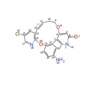 Cn1cc2c(cc1=O)OCC/C=C\c1cc(Cl)cnc1Oc1ccc(N)cc1-2